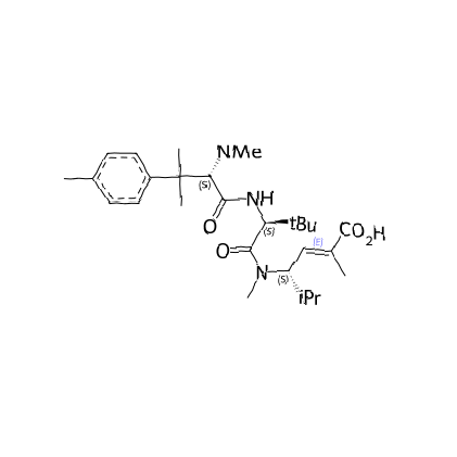 CN[C@H](C(=O)N[C@H](C(=O)N(C)[C@H](/C=C(\C)C(=O)O)C(C)C)C(C)(C)C)C(C)(C)c1ccc(C)cc1